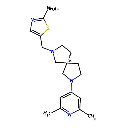 CC(=O)Nc1ncc(CN2CC[C@@]3(CCN(c4cc(C)nc(C)c4)C3)C2)s1